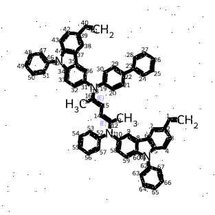 C=Cc1ccc2c(c1)c1cc(N(/C(C)=C/C=C(\C)N(c3ccc(-c4ccccc4)cc3)c3ccc4c(c3)c3cc(C=C)ccc3n4-c3ccccc3)c3ccccc3)ccc1n2-c1ccccc1